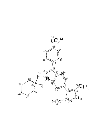 Cc1noc(C)c1-c1cnc2c(-c3ccc(C(=O)O)cc3)cn(CC3(F)CCCCC3)c2c1